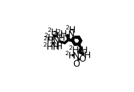 [2H]c1c(CC([2H])([2H])N(C([2H])([2H])[2H])C([2H])([2H])[2H])c2cc(C[C@]3([2H])N([2H])C(=O)OC3([2H])[2H])ccc2n1[2H]